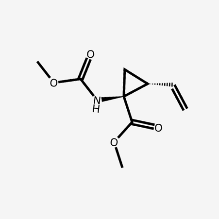 C=C[C@H]1C[C@@]1(NC(=O)OC)C(=O)OC